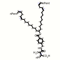 CCCCC/C=C\C/C=C\CCCCCCCCC(CCCCCCCC/C=C\C/C=C\CCCCC)OC(=O)c1ccc(CNC(=O)/C(C)=C(/CCC)C(=O)O)cc1